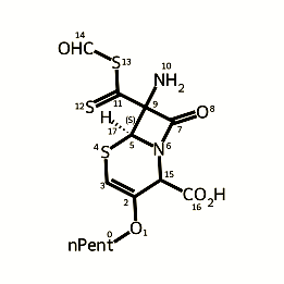 CCCCCOC1=CS[C@@H]2N(C(=O)C2(N)C(=S)SC=O)C1C(=O)O